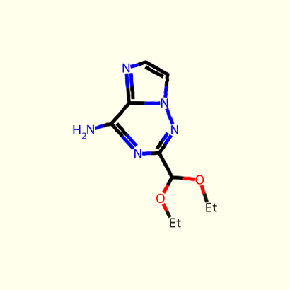 CCOC(OCC)c1nc(N)c2nccn2n1